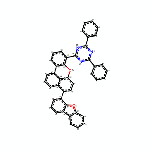 c1ccc(-c2nc(-c3ccccc3)nc(-c3cccc4c3Oc3ccc(-c5cccc6c5oc5ccccc56)c5cccc-4c35)n2)cc1